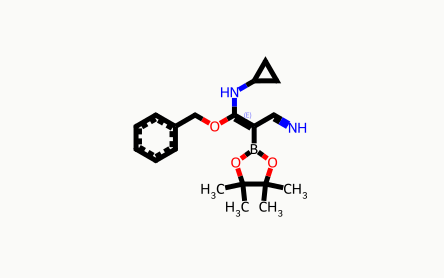 CC1(C)OB(/C(C=N)=C(/NC2CC2)OCc2ccccc2)OC1(C)C